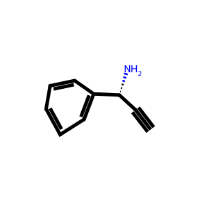 C#C[C@@H](N)c1ccccc1